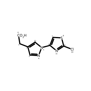 O=C(O)Cc1cnn(-c2csc(Cl)n2)c1